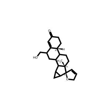 C[C@]12CCC3C(CC(CO)C4=CC(=O)CC[C@@H]43)C1C1CC1[C@@]21C=CCO1